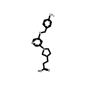 Cc1ccc(COc2cncc(N3CCC(CCC(=O)O)C3)c2)cc1